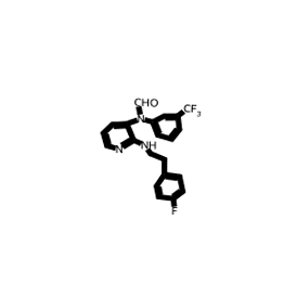 O=CN(c1cccc(C(F)(F)F)c1)c1cccnc1NCCc1ccc(F)cc1